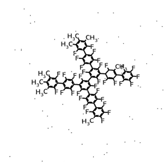 CC1=C(c2c(F)c(F)c(F)c(F)c2F)C(F)=C(F)C(c2c(F)c(-c3c(F)c(F)c(-c4c(F)c(C)c(C)c(C)c4F)c(F)c3F)c(F)c(-c3c(F)c(-c4c(F)c(F)c(-c5c(F)c(C)c(C)c(C)c5F)c(F)c4F)c(F)c(-c4c(F)c(F)c(-c5c(F)c(C)c(F)c(F)c5F)c(F)c4F)c3F)c2F)C1F